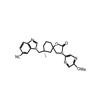 COc1cnc(N2CC3(CCC[C@](C)(Cn4cnc5ccc(C#N)cc54)C3)OC2=O)cn1